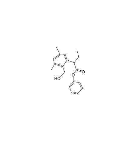 CCC(C(=O)Oc1ccccc1)c1cc(C)cc(C)c1CO